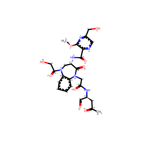 COc1nc(CO)cnc1C(=O)N[C@H]1CN(C(=O)CO)c2ccccc2N(CC(=O)N[C@H](C=O)CC(C)=O)C1=O